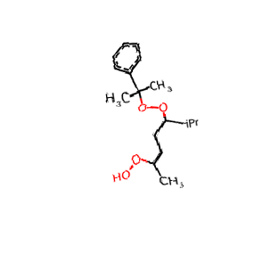 CC(CCC(OOC(C)(C)c1ccccc1)C(C)C)OO